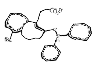 CCOC(=O)CC1=C(O[SiH](c2ccccc2)c2ccccc2)CCc2c1cccc2C(C)(C)C